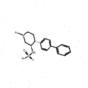 CC(=O)N1CC[C@H](c2ccc(-c3ccccc3)cc2)[C@@H](NS(=O)(=O)C(C)C)C1